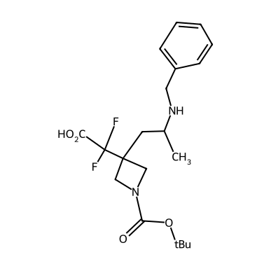 CC(CC1(C(F)(F)C(=O)O)CN(C(=O)OC(C)(C)C)C1)NCc1ccccc1